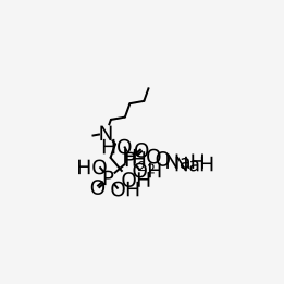 CCCCCN(C)CCC(O)(P(=O)(O)O)P(=O)(O)O.O.O.[NaH].[NaH]